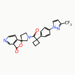 O=C1O[C@]2(CCN(C(=O)C3(c4ccc(-n5ccc(C(F)(F)F)n5)cc4)CCC3)C2)c2ccncc21